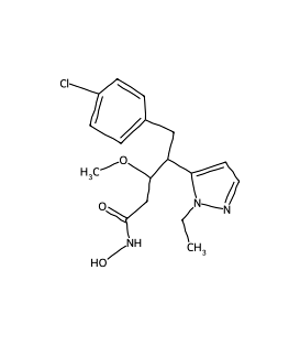 CCn1nccc1C(Cc1ccc(Cl)cc1)C(CC(=O)NO)OC